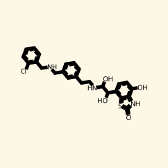 O=c1[nH]c2c(O)ccc(C(O)C(O)NCCc3cccc(CNCc4ccccc4Cl)c3)c2s1